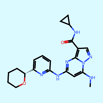 CNc1cc(Nc2cccc([C@H]3CCCCO3)n2)nc2c(C(=O)NC3CC3)cnn12